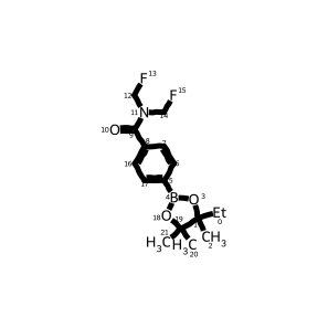 CCC1(C)OB(c2ccc(C(=O)N(CF)CF)cc2)OC1(C)C